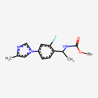 Cc1cn(-c2ccc(C(C)NC(=O)OC(C)(C)C)c(F)c2)cn1